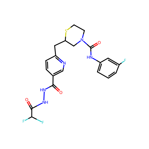 O=C(NNC(=O)C(F)F)c1ccc(CC2CN(C(=O)Nc3cccc(F)c3)CCS2)nc1